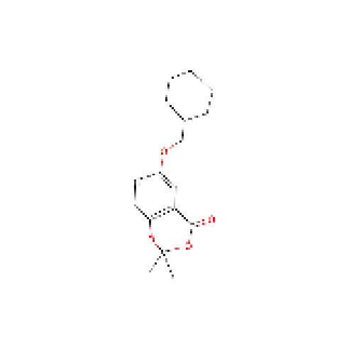 CC1(C)OC(=O)c2cc(OCC3CCCCC3)ccc2O1